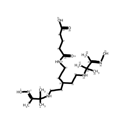 C/C(=N\O)C(C)(C)NCCC(CCNC(=O)CCCC(=O)O)CCNC(C)(C)/C(C)=N/O